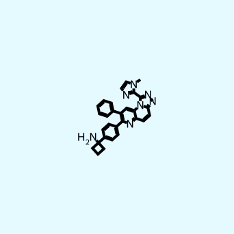 Cn1ccnc1-c1nnc2ccc3nc(-c4ccc(C5(N)CCC5)cc4)c(-c4ccccc4)cc3n12